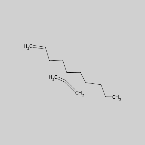 C=C=C.C=CCCCCCCCC